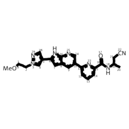 COCCn1cc(-c2cc3cc(-c4cccc(C(=O)NC(C)CC#N)n4)cnc3[nH]2)cn1